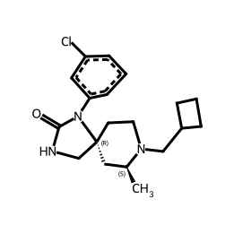 C[C@H]1C[C@]2(CCN1CC1CCC1)CNC(=O)N2c1cccc(Cl)c1